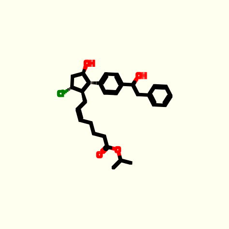 CC(C)OC(=O)CCC/C=C\C[C@@H]1[C@@H](c2ccc(C(O)Cc3ccccc3)cc2)[C@H](O)C[C@H]1Cl